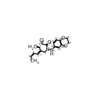 C=C/C(=C\C=C/C)CN(Bc1ccc2c(c1)OCCO2)C(=O)CCl